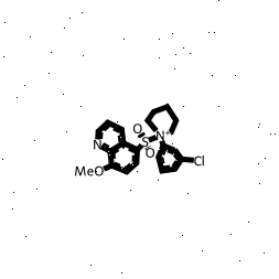 COc1ccc(S(=O)(=O)[N+]2(c3cccc(Cl)c3)CC[CH]CC2)c2cccnc12